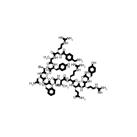 CC[C@H](C)[C@H](NC(=O)[C@H](Cc1ccc(O)cc1)NC(=O)[C@H](C)NC(=O)[C@H](CCCNC(=N)N)NC(=O)c1ccc(CN)cc1)C(=O)N[C@@H](CC(N)=O)C(=O)N[C@@H](Cc1ccccc1)C(=O)N[C@H](C(=O)N[C@H](C(=O)N[C@@H](CCCNC(=N)N)C(=O)N[C@@H](CCC(N)=O)C(=O)N[C@@H](CCCNC(=N)N)C(=O)N[C@@H](Cc1ccc(O)cc1)C(N)=O)[C@@H](C)O)[C@@H](C)CC